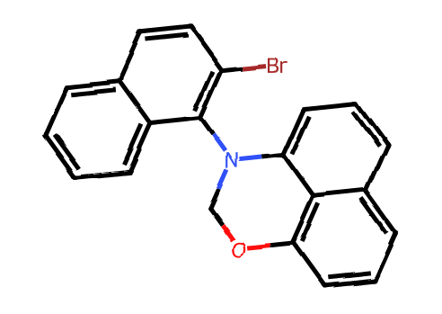 Brc1ccc2ccccc2c1N1COc2cccc3cccc1c23